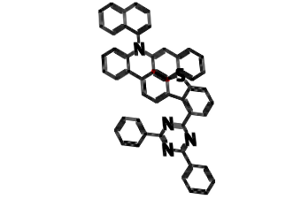 c1ccc(-c2nc(-c3ccccc3)nc(-c3cccc4sc5cc(-c6ccccc6N(c6ccc7ccccc7c6)c6cccc7ccccc67)ccc5c34)n2)cc1